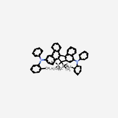 Cc1ccccc1N(c1ccccc1)c1ccc2c3c(c4ccccc4c2c1)-c1c(cc(N(c2ccccc2)c2ccccc2C)c2ccccc12)C3([Si](C)(C)C)[Si](C)(C)C